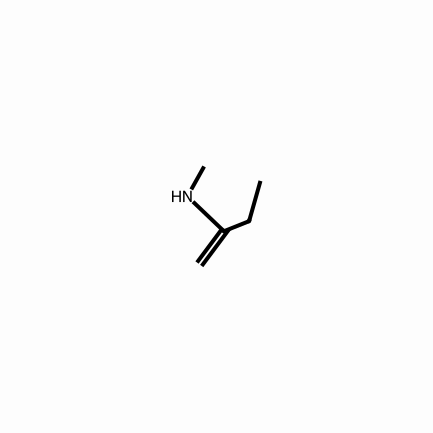 C=C(CC)NC